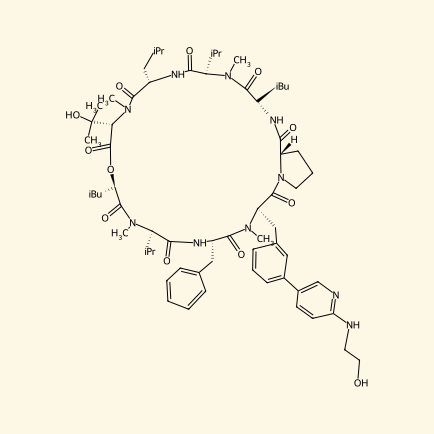 CC[C@H](C)[C@@H]1NC(=O)[C@@H]2CCCN2C(=O)[C@H](Cc2cccc(-c3ccc(NCCO)nc3)c2)N(C)C(=O)[C@H](Cc2ccccc2)NC(=O)[C@H](C(C)C)N(C)C(=O)[C@@H]([C@@H](C)CC)OC(=O)[C@H](C(C)(C)O)N(C)C(=O)[C@H](CC(C)C)NC(=O)[C@H](C(C)C)N(C)C1=O